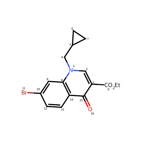 CCOC(=O)c1cn(CC2CC2)c2cc(Br)ccc2c1=O